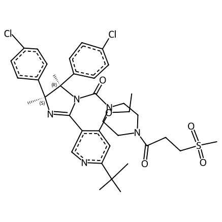 CCOc1cc(C(C)(C)C)ncc1C1=N[C@@](C)(c2ccc(Cl)cc2)[C@@](C)(c2ccc(Cl)cc2)N1C(=O)N1CCN(C(=O)CCS(C)(=O)=O)CC1